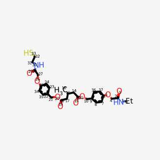 CCNC(=O)COc1ccc(COC(=O)CC(C)CC(=O)OCc2ccc(OCC(=O)NCCS)cc2)cc1